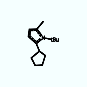 Cc1ccc(C2CCCC2)n1C(C)(C)C